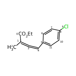 CCOC(=O)C(C)=C=Cc1ccc(Cl)cc1